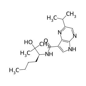 CCCC[C@H](NC(=O)c1c[nH]c2ncc(C(C)C)nc12)C(C)(C)O